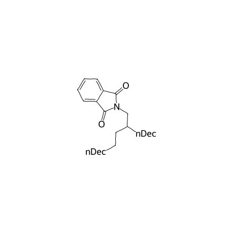 CCCCCCCCCCCCC(CCCCCCCCCC)CN1C(=O)c2ccccc2C1=O